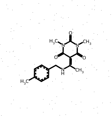 CC(NCc1ccc(C)cc1)=C1C(=O)N(C)C(=O)N(C)C1=O